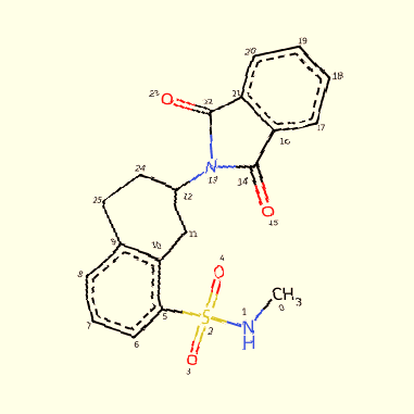 CNS(=O)(=O)c1cccc2c1CC(N1C(=O)c3ccccc3C1=O)CC2